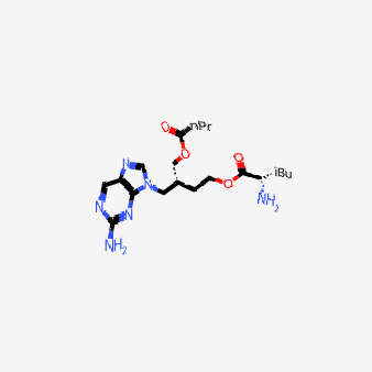 CCCC(=O)OC[C@H](CCOC(=O)[C@@H](N)[C@@H](C)CC)Cn1cnc2cnc(N)nc21